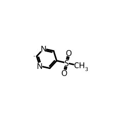 CS(=O)(=O)c1cn[c]nc1